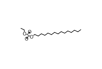 CCCCCCCCCCCCCCCOS(=O)(=O)OCC